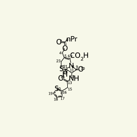 CCCC(=O)OCC1=C(C(=O)O)N2C(=O)C(NC(=O)Cc3cccs3)[C@@H]2SC1